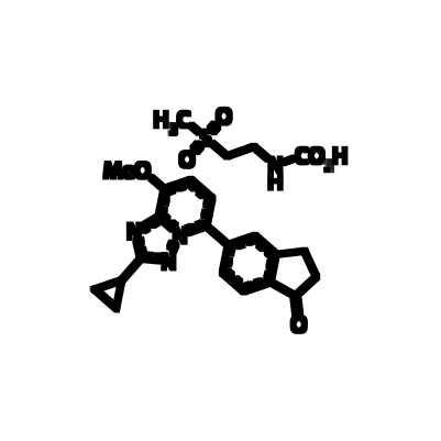 COc1ccc(-c2ccc3c(c2)CCC3=O)n2nc(C3CC3)nc12.CS(=O)(=O)CCNC(=O)O